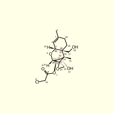 CC1=C[C@H]2O[C@@H]3[C@H](OC(=O)CCl)[C@@H](O)[C@](C)([C@@]2(CO)CC1)[C@]31CO1